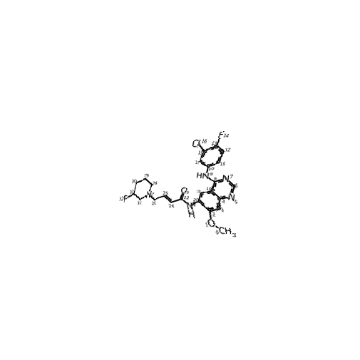 COc1cc2ncnc(Nc3ccc(F)c(Cl)c3)c2cc1NC(=O)C=CCN1CCCC(F)C1